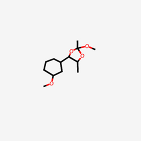 COC1CCCC(C2OC(C)(OC)OC2C)C1